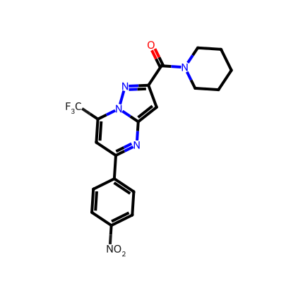 O=C(c1cc2nc(-c3ccc([N+](=O)[O-])cc3)cc(C(F)(F)F)n2n1)N1CCCCC1